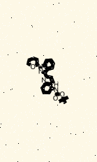 CC(C)(C)OC(=O)NC1CCCc2nc(-c3nn(C4CCCCO4)c4ccccc34)ccc21